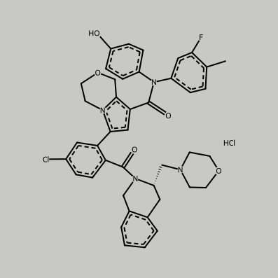 Cc1ccc(N(C(=O)c2cc(-c3cc(Cl)ccc3C(=O)N3Cc4ccccc4C[C@H]3CN3CCOCC3)n3c2COCC3)c2ccc(O)cc2)cc1F.Cl